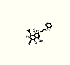 COc1c(NCCNc2ccccn2)cc(N)c2c(=O)c(C#N)c(F)n(C3CC3)c12